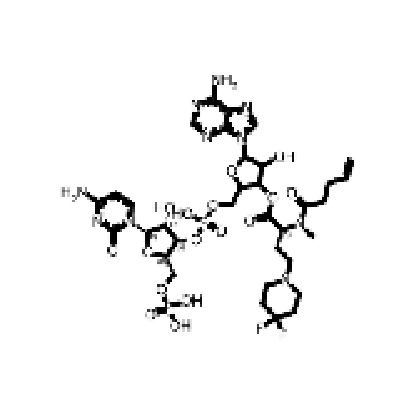 C=CCCC(=O)N(C)[C@@H](CCN1CCC(F)(F)CC1)C(=O)OC1C(COP(=O)(O)O[C@H]2[C@@H](O)[C@H](n3ccc(N)nc3=O)O[C@@H]2COP(=O)(O)O)OC(n2cnc3c(N)ncnc32)C1O